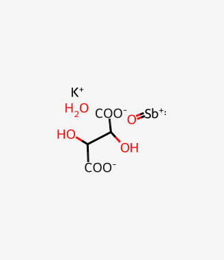 O.O=C([O-])C(O)C(O)C(=O)[O-].[K+].[O]=[Sb+]